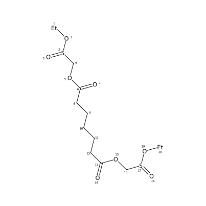 CCOS(=O)COC(=O)CCCCCC(=O)OCS(=O)OCC